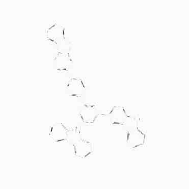 c1ccc2c(c1)oc1ccc(-c3cc(-c4ccc(-c5ccc6c(c5)sc5ccccc56)cc4)cc(-n4c5ccccc5c5ccccc54)c3)cc12